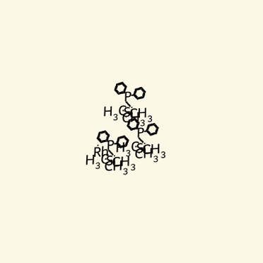 C[Si](C)(C)CCP(c1ccccc1)c1ccccc1.C[Si](C)(C)CCP(c1ccccc1)c1ccccc1.C[Si](C)(C)CCP(c1ccccc1)c1ccccc1.[Rh]